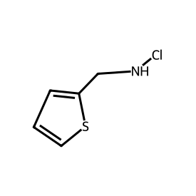 ClNCc1cccs1